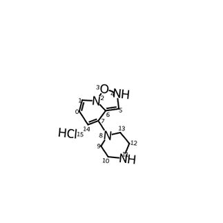 C1=CN2ONC=C2C(N2CCNCC2)=C1.Cl